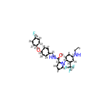 CCNc1ccc(-n2cccc2C(=O)NCc2ccc(Oc3ccc(F)cc3)cc2)c(C(F)(F)F)c1